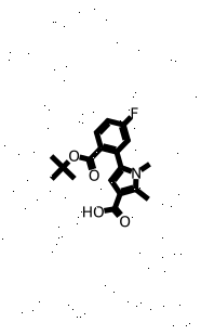 Cc1c(C(=O)O)cc(-c2cc(F)ccc2C(=O)OC(C)(C)C)n1C